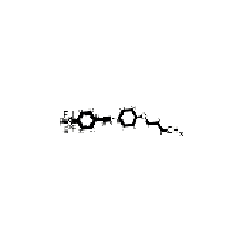 CCCCO[C@H]1CC[C@H](C#Cc2ccc(S(F)(F)(F)(F)F)cc2)CC1